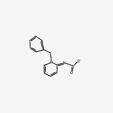 O=[N+]([O-])/N=c1\ccccn1Cc1ccccc1